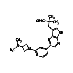 CN(C)C1CN(c2cccc(-c3cnc4[nH]cc(CC(C)(C)C=O)c4n3)c2)C1